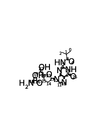 CC(C)C(=O)Nc1nc2c(ncn2[C@H]2C[C@H](OP(N)O)[C@@H](CO)O2)c(=O)[nH]1